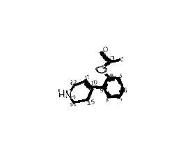 CC(C)Oc1ccccc1C1=CCNCC1